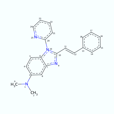 CN(C)c1ccc2c(c1)nc(C=Cc1ccccc1)n2-c1ccccn1